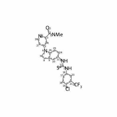 CNC(=O)c1cc(-n2ccc3cc(NC(=S)Nc4ccc(Cl)c(C(F)(F)F)c4)ccc32)ccn1